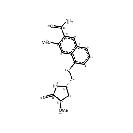 COc1cc2c(OC[C@@H]3C[C@@H](OC)C(=O)N3)cccc2cc1C(N)=O